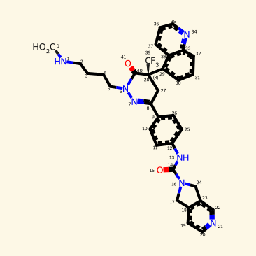 O=C(O)NCCCCN1N=C(c2ccc(NC(=O)N3Cc4ccncc4C3)cc2)C[C@](c2cccc3ncccc23)(C(F)(F)F)C1=O